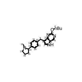 CCCCOc1ncc2[nH]cc(Cc3ccc(C4CCCN4C)cc3)c2n1